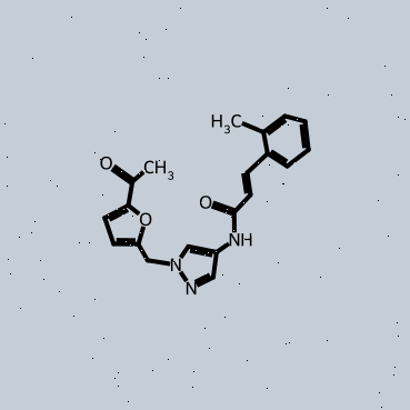 CC(=O)c1ccc(Cn2cc(NC(=O)C=Cc3ccccc3C)cn2)o1